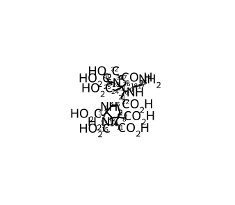 NC1(CC(=O)O)CCCC(CC(=O)O)(CC(=O)O)C1(N)CC(=O)O.NCCNC(CC(=O)O)C(CC(=O)O)(CC(=O)O)N(CC(=O)O)CC(=O)O